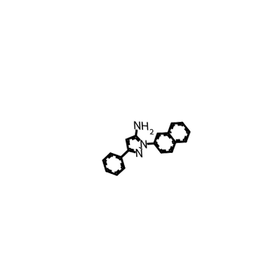 Nc1cc(-c2ccccc2)nn1-c1ccc2ccccc2c1